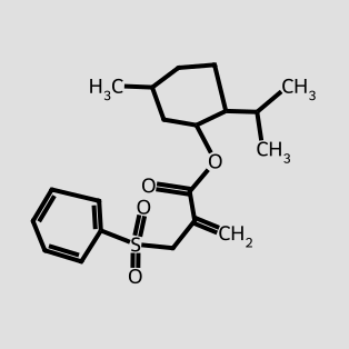 C=C(CS(=O)(=O)c1ccccc1)C(=O)OC1CC(C)CCC1C(C)C